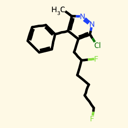 Cc1nnc(Cl)c(CC(F)CCCCF)c1-c1ccccc1